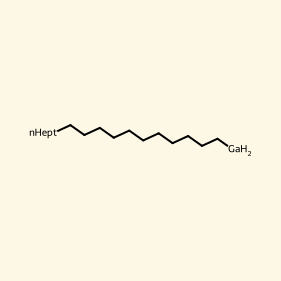 CCCCCCCCCCCCCCCCC[CH2][GaH2]